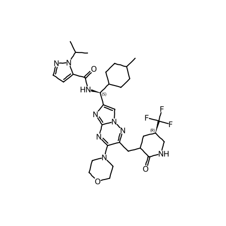 CC1CCC([C@H](NC(=O)c2ccnn2C(C)C)c2cn3nc(CC4C[C@@H](C(F)(F)F)CNC4=O)c(N4CCOCC4)nc3n2)CC1